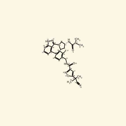 CN(C)C(=O)N[C@@H]1CCN(c2n[nH]c3nccc(-c4ccc(CNC(=O)c5cc(C(C)(C)C#N)on5)c(F)c4)c23)C1